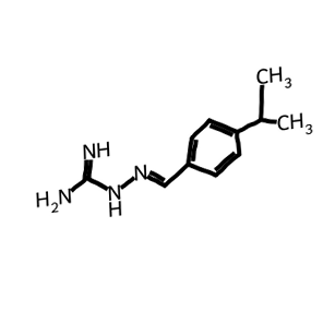 CC(C)c1ccc(C=NNC(=N)N)cc1